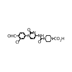 O=Cc1ccc(-n2ccc(NC(=O)N3CCN(C(=O)O)CC3)nc2=O)cc1Cl